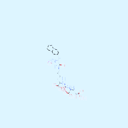 O=CNC(Cc1ccc2ccccc2c1)C(=O)NCCCCC(NC(=O)NC(CCC(=O)O)C(=O)O)C(=O)O